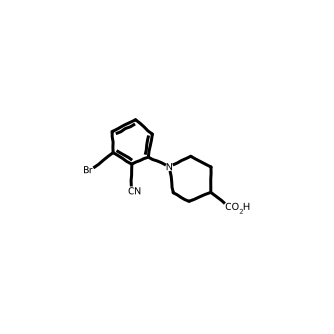 N#Cc1c(Br)cccc1N1CCC(C(=O)O)CC1